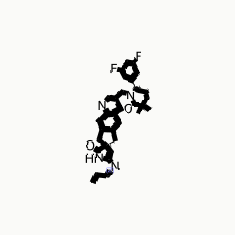 C=C/C=N\C1=C[C@@]2(Cc3cc4cc(CN5C(=O)C(C)(C)CC[C@H]5c5cc(F)cc(F)c5)cnc4cc3C2)C(=O)N1